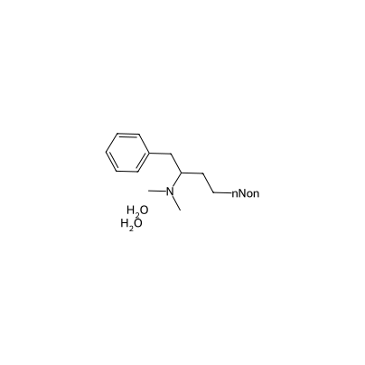 CCCCCCCCCCCC(Cc1ccccc1)N(C)C.O.O